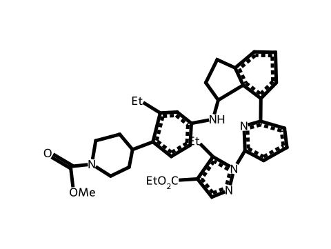 CCOC(=O)c1cnn(-c2cccc(-c3cccc4c3C(Nc3ccc(C5CCN(C(=O)OC)CC5)c(CC)c3)CC4)n2)c1CC